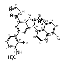 CNc1nccc(-c2cc(-c3nnc[nH]3)c3nc(C)n(-c4ccnc5c(F)ccc(F)c45)c3c2)c1F